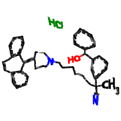 CC(C#N)(CCCCCCN1CCC(=C2c3ccccc3C=Cc3ccccc32)CC1)c1cccc(C(O)c2ccccc2)c1.Cl